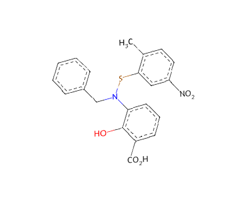 Cc1ccc([N+](=O)[O-])cc1SN(Cc1ccccc1)c1cccc(C(=O)O)c1O